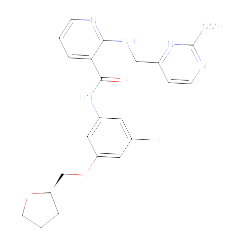 CNc1nccc(CNc2ncccc2C(=O)Nc2cc(OC[C@H]3CCCO3)cc(C(F)(F)F)c2)n1